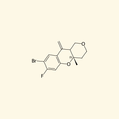 C=C1c2cc(Br)c(F)cc2O[C@@]2(C)CCOCC12